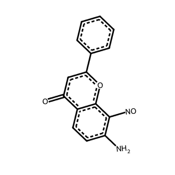 Nc1ccc2c(=O)cc(-c3ccccc3)oc2c1N=O